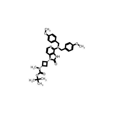 COc1ccc(CN(Cc2ccc(OC)cc2)c2nccc3c2[nH]c(=O)n3[C@H]2C[C@@H](N(C)C(=O)OC(C)(C)C)C2)cc1